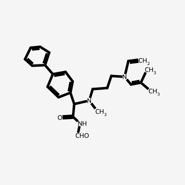 C=CN(C=C(C)C)CCCN(C)C(C(=O)NC=O)c1ccc(-c2ccccc2)cc1